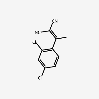 CC(=C(C#N)C#N)c1ccc(Cl)cc1Cl